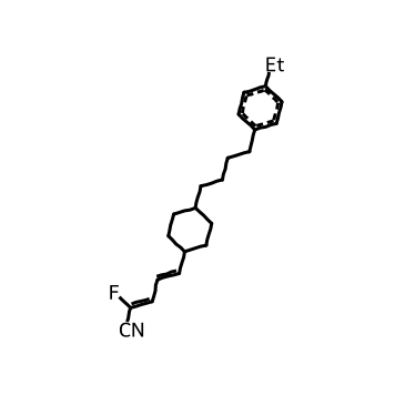 CCc1ccc(CCCCC2CCC(C=CC=C(F)C#N)CC2)cc1